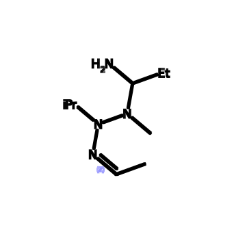 C/C=N\N(C(C)C)N(C)C(N)CC